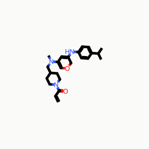 C=CC(=O)N1CCC(CN(C)C2=COCC(Nc3ccc(C(C)C)cc3)=C2)CC1